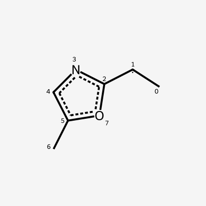 C[CH]c1ncc(C)o1